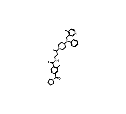 Cc1ccncc1CN(c1ccccc1)C1CCN(C(C)CCNC(=O)c2ccc(C(=O)N3CCCC3)cc2C)CC1